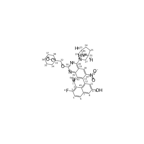 C#Cc1c(F)ccc2cc(O)cc(-c3c([N+](=O)[O-])cc4c(N5C[C@H]6CC[C@@H](C5)N6)nc(OCC56CCC(CC5)OC6)nc4c3F)c12